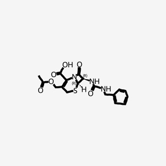 CC(=O)OCC1=C(C(=O)O)N2C(=O)[C@@H](NC(=O)NCc3ccccc3)[C@H]2SC1